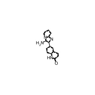 Nc1c(-c2ccc3[nH]c(=O)ccc3c2)nc2ccccn12